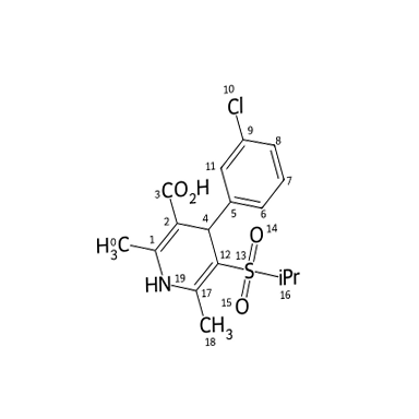 CC1=C(C(=O)O)C(c2cccc(Cl)c2)C(S(=O)(=O)C(C)C)=C(C)N1